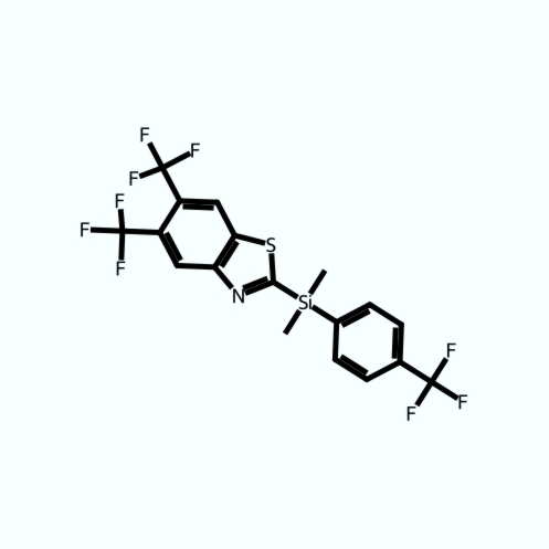 C[Si](C)(c1ccc(C(F)(F)F)cc1)c1nc2cc(C(F)(F)F)c(C(F)(F)F)cc2s1